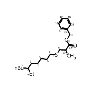 CCCCC(CC)CCCCCSCC(C)C(=O)OCc1ccccc1